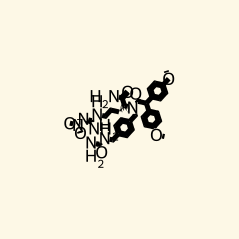 COc1ccc(C(C(=O)N(Cc2ccc(CNC(N)=O)cc2)[C@H](CCCNC(N)=N[N+](=O)[O-])C(N)=O)c2ccc(OC)cc2)cc1